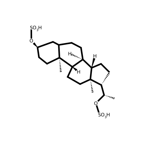 C[C@H](OS(=O)(=O)O)[C@H]1CC[C@H]2[C@@H]3CCC4C[C@H](OS(=O)(=O)O)CC[C@]4(C)[C@H]3CC[C@]12C